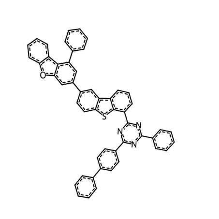 c1ccc(-c2ccc(-c3nc(-c4ccccc4)nc(-c4cccc5c4sc4ccc(-c6cc(-c7ccccc7)c7c(c6)oc6ccccc67)cc45)n3)cc2)cc1